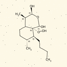 CCCC[C@H]1[C@H](C)CCC2[C@@H](C)[C@@H](O)O[C@H](O)[C@]21OO